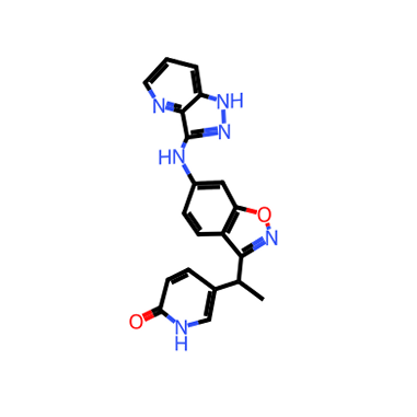 CC(c1ccc(=O)[nH]c1)c1noc2cc(Nc3n[nH]c4cccnc34)ccc12